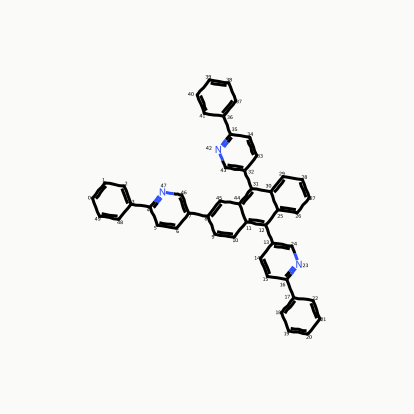 c1ccc(-c2ccc(-c3ccc4c(-c5ccc(-c6ccccc6)nc5)c5ccccc5c(-c5ccc(-c6ccccc6)nc5)c4c3)cn2)cc1